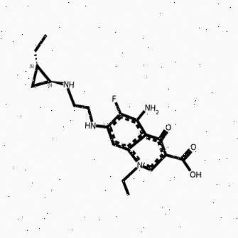 CC[C@H]1C[C@@H]1NCCNc1cc2c(c(N)c1F)c(=O)c(C(=O)O)cn2CC